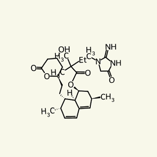 CCC(C)(C)C(=O)O[C@H]1C[C@@H](C)C=C2C=C[C@H](C)[C@H](CC[C@@H]3C[C@@H](O)CC(=O)O3)[C@H]21.CN1CC(=O)NC1=N